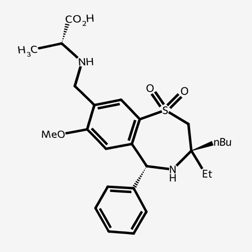 CCCC[C@]1(CC)CS(=O)(=O)c2cc(CN[C@H](C)C(=O)O)c(OC)cc2[C@@H](c2ccccc2)N1